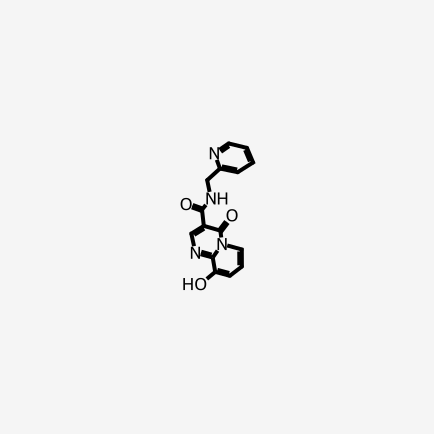 O=C(NCc1ccccn1)c1cnc2c(O)cccn2c1=O